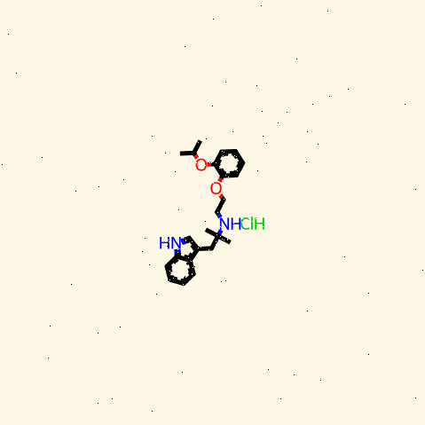 CC(C)Oc1ccccc1OCCNC(C)(C)Cc1c[nH]c2ccccc12.Cl